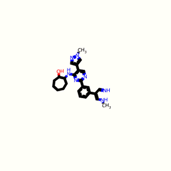 CN/C=C(\C=N)c1cccc(-c2ncc(-c3cnn(C)c3)c(NC3CCCCCC3O)n2)c1